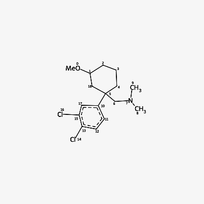 COC1CCCC(CN(C)C)(c2ccc(Cl)c(Cl)c2)C1